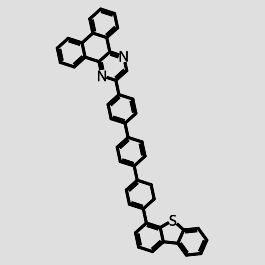 C1=C(c2ccc(-c3ccc(-c4cnc5c6ccccc6c6ccccc6c5n4)cc3)cc2)CCC(c2cccc3c2sc2ccccc23)=C1